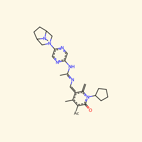 C=c1/c(=C\N=C(/C)Nc2cnc(N3CC4CCC(C3)N4C)cn2)c(C)c(C(C)=O)c(=O)n1C1CCCC1